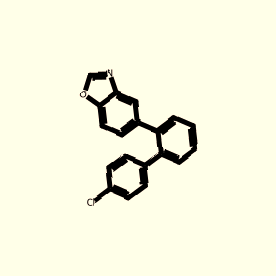 Clc1ccc(-c2ccccc2-c2ccc3ocnc3c2)cc1